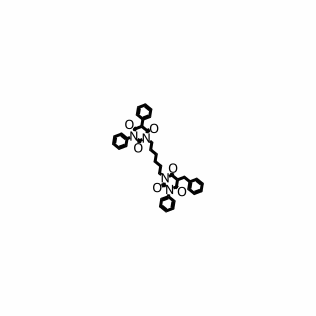 O=C1C(Cc2ccccc2)C(=O)N(c2ccccc2)C(=O)N1CCCCCCN1C(=O)C(c2ccccc2)C(=O)N(c2ccccc2)C1=O